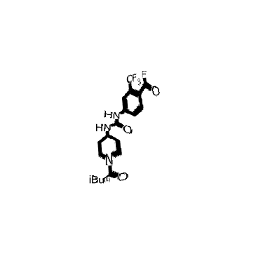 CC[C@H](C)C(=O)N1CCC(NC(=O)Nc2ccc(C(=O)F)c(C(F)(F)F)c2)CC1